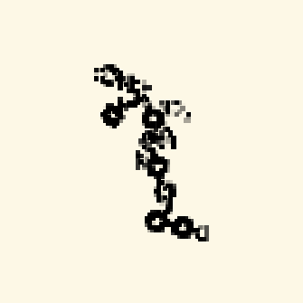 O=[N+]([O-])c1cc(S(=O)(=O)Nc2ncnc3cc(N4CCN(Cc5ccccc5-c5ccc(Cl)cc5)CC4)ccc23)ccc1NC(CCNN1CCOCC1)CSc1ccccc1